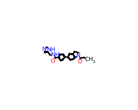 CCC(=O)N1CCc2cc(-c3ccc(C(=O)NCc4cnc[nH]4)cc3)ccc21